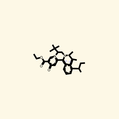 CCOC(=O)c1cn2c(cc1=O)/C(=c1\cccc(C(C)CC)\c1=C(/C)CC)N(C)CC2C(C)(C)C